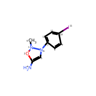 CN1OC(N)=CN1c1ccc(I)cc1